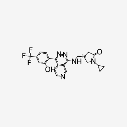 O=C1C[C@H](CNc2nnc(-c3ccc(C(F)(F)F)cc3O)c3ccncc23)CN1C1CC1